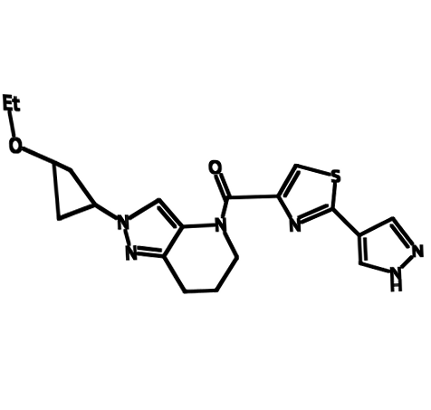 CCOC1CC(n2cc3c(n2)CCCN3C(=O)c2csc(-c3cn[nH]c3)n2)C1